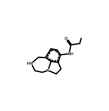 CCC(=O)Nc1ccc2c3c1CCN3CCNC2